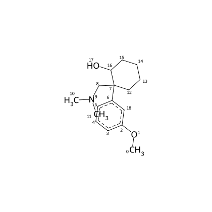 COc1cccc(C2(CN(C)C)CCCCC2O)c1